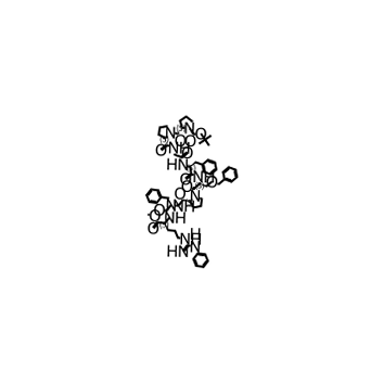 COC(=O)[C@H](CCCNC(=N)Nc1ccccc1)NC(=O)N(Cc1ccccc1)NC(=O)[C@@H]1CCCN1C(=O)[C@H](COCc1ccccc1)NC(=O)[C@H](Cc1ccccc1)NC(=O)CNC(=O)[C@@H]1CCCN1C(=O)[C@@H]1CCCN1C(=O)OC(C)(C)C